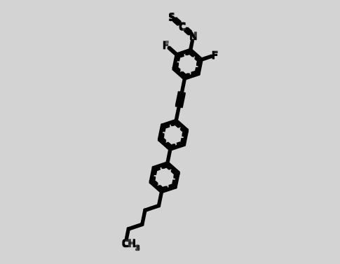 CCCCCc1ccc(-c2ccc(C#Cc3cc(F)c(N=C=S)c(F)c3)cc2)cc1